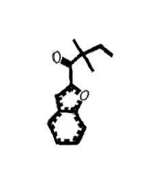 CCC(C)(C)C(=O)c1cc2ccccc2o1